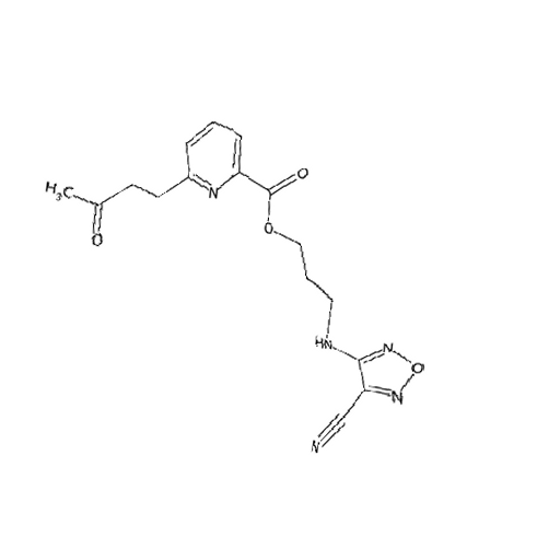 CC(=O)CCc1cccc(C(=O)OCCCNc2nonc2C#N)n1